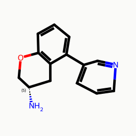 N[C@@H]1COc2cccc(-c3cccnc3)c2C1